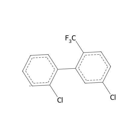 FC(F)(F)c1ccc(Cl)cc1-c1ccc[c]c1Cl